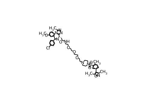 COc1ccc2c(c1)C(c1ccc(Cl)cc1)=N[C@@H](CC(=O)NCCOCCOCCOCCN1CCN(S(=O)(=O)c3cc(-c4c(C)noc4C)ccc3C)CC1)c1nnc(C)n1-2